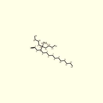 C=CCC(CCCCCCCCCCC)C(P)(CCCC)CCCC